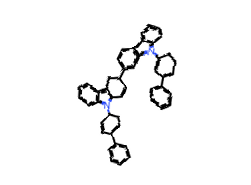 C1=CC(n2c3c(c4ccccc42)CC(c2ccc4c5ccccc5n(C5=CC(c6ccccc6)=CCC5)c4c2)C=C3)CC=C1c1ccccc1